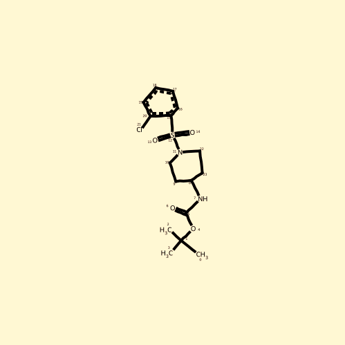 CC(C)(C)OC(=O)NC1CCN(S(=O)(=O)c2c[c]ccc2Cl)CC1